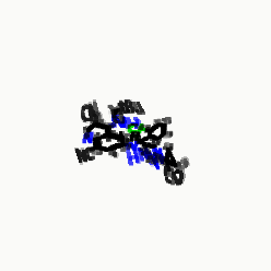 BC(Nc1cc(C#N)c2ncc(C#N)c(NCC(C)(C)C)c2c1)(c1cn(C2(C#N)CC2)nn1)c1ccccc1Cl